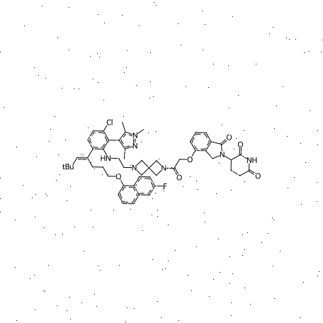 Cc1nn(C)c(C)c1-c1c(Cl)ccc(/C(=C/C(C)(C)C)CCCOc2cccc3cc(F)ccc23)c1NCCN1CC2(C1)CN(C(=O)COc1cccc3c1CN(C1CCC(=O)NC1=O)C3=O)C2